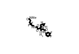 CNC(=O)CCC(F)(F)CCNC(=O)C(=O)c1c(C)c(C(=O)Nc2ccc(F)c(F)c2)n2c1C[C@H]1C[C@H]12